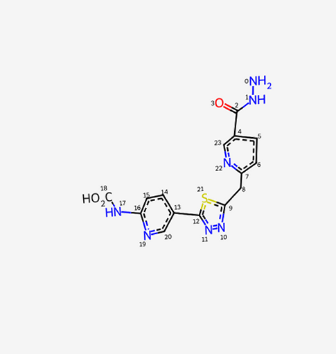 NNC(=O)c1ccc(Cc2nnc(-c3ccc(NC(=O)O)nc3)s2)nc1